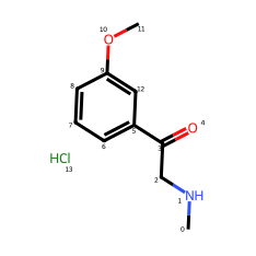 CNCC(=O)c1cccc(OC)c1.Cl